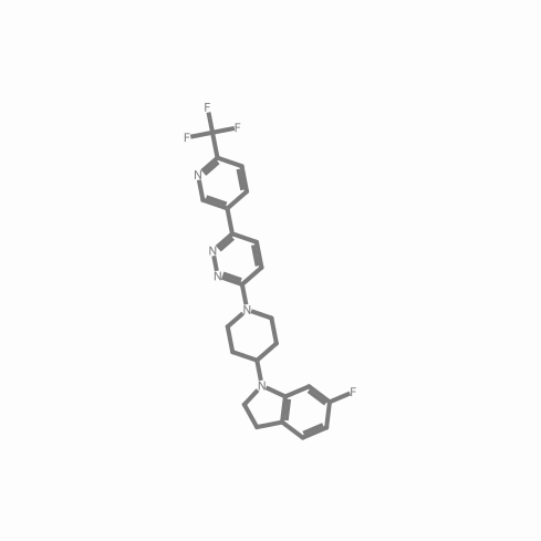 Fc1ccc2c(c1)N(C1CCN(c3ccc(-c4ccc(C(F)(F)F)nc4)nn3)CC1)CC2